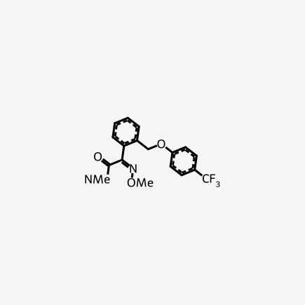 CNC(=O)/C(=N\OC)c1ccccc1COc1ccc(C(F)(F)F)cc1